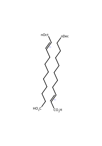 CCCCCCCC/C=C/CCCCCCCC(=O)O.CCCCCCCCCCCCCCCCC/C=C/C(=O)O